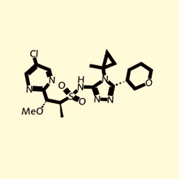 CO[C@H](c1ncc(Cl)cn1)[C@H](C)S(=O)(=O)Nc1nnc([C@@H]2CCCOC2)n1C1(C)CC1